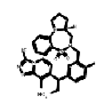 CCc1nnc2c(C)c(C(CC(=O)O)c3ccc(C)c(CN4C[C@H]5CCCN5c5ccccc5S4(=O)=O)c3)ccn12